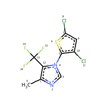 Cc1n[c]n(-c2sc(Cl)cc2Cl)c1C(F)(F)F